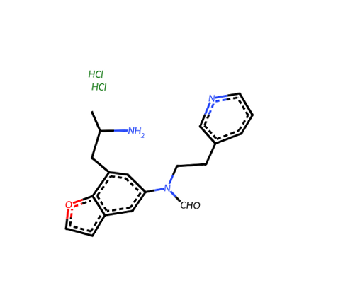 CC(N)Cc1cc(N(C=O)CCc2cccnc2)cc2ccoc12.Cl.Cl